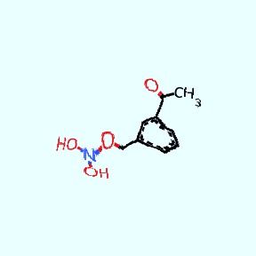 CC(=O)c1cccc(CON(O)O)c1